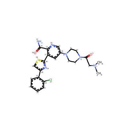 CN(C)CC(=O)N1CCN(c2cnc(C(N)=O)c(-c3nc(-c4ccccc4Cl)cs3)c2)CC1